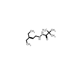 CCC(=CCNNC(=O)C(C)(C)C)CC